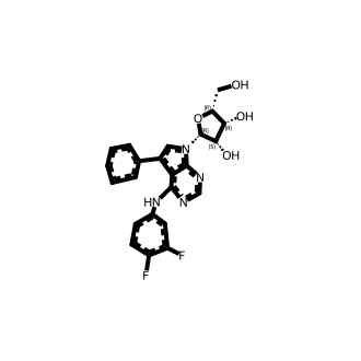 OC[C@H]1O[C@@H](n2cc(-c3ccccc3)c3c(Nc4ccc(F)c(F)c4)ncnc32)[C@@H](O)[C@H]1O